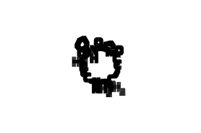 N/C1=C\N(N)CCCCNC(=O)C(C2CCCCC2)NC(=O)C2CCCN2C(=O)CCCCC1